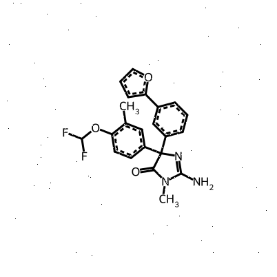 Cc1cc(C2(c3cccc(-c4ccco4)c3)N=C(N)N(C)C2=O)ccc1OC(F)F